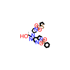 C[C@@H](O)c1nc2cnc3c(ccn3S(=O)(=O)c3ccccc3)c2n1C1CCN(S(=O)(=O)c2cccs2)C1